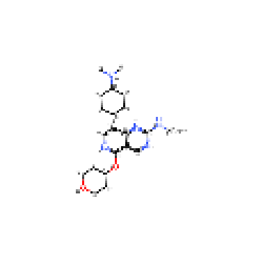 CCCC(C)Nc1ncc2c(OC3CCOCC3)ncc([C@H]3CC[C@H](N(C)C)CC3)c2n1